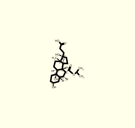 CC(C)OC(=O)[C@H]1[C@H]2[C@@H]3CC[C@@](O)(CCC(=O)O)[C@@]3(C)CC[C@@H]2[C@@]2(C)CC[C@H](O)C[C@@]2(Br)[C@H]1Br